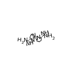 N=C(N)c1cccc(-c2nccc(C(=N)N)n2)n1